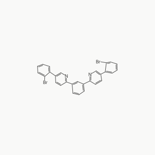 Brc1ccccc1-c1ccc(-c2cccc(-c3ccc(-c4ccccc4Br)cn3)c2)nc1